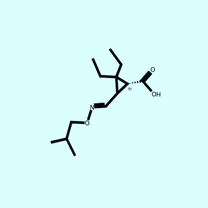 CCC1(CC)C(C=NOCC(C)C)[C@H]1C(=O)O